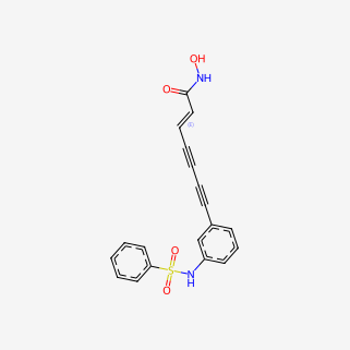 O=C(/C=C/C#CC#Cc1cccc(NS(=O)(=O)c2ccccc2)c1)NO